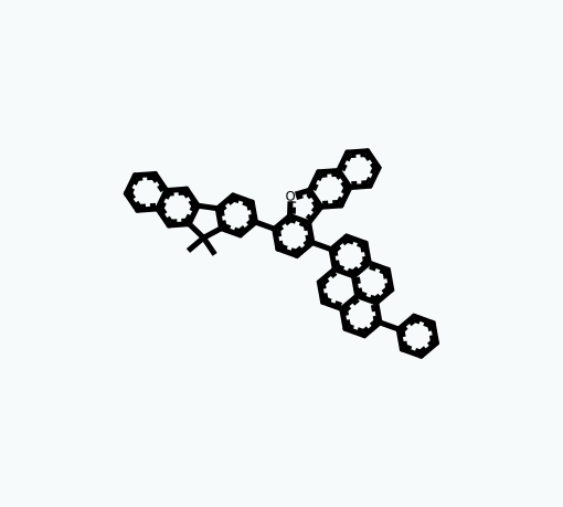 CC1(C)c2cc(-c3ccc(-c4ccc5ccc6c(-c7ccccc7)ccc7ccc4c5c76)c4c3oc3cc5ccccc5cc34)ccc2-c2cc3ccccc3cc21